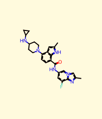 Cc1cn2cc(NC(=O)c3ccc(N4CCC(NC5CC5)CC4)c4cc(C)[nH]c34)cc(F)c2n1